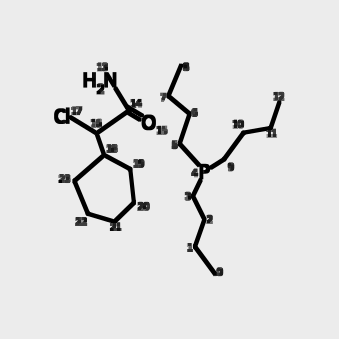 CCCCP(CCCC)CCCC.NC(=O)C(Cl)C1CCCCC1